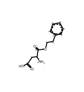 NC(CC(=O)O)C(=O)OCCc1ccccc1